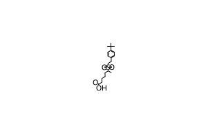 CC(CCCCC(=O)O)S(=O)(=O)CCc1ccc(C(C)(C)C)cc1